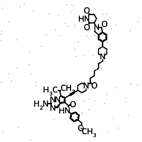 COCc1ccc(NC(=O)c2c(C#CC3CCN(C(=O)CCCCCCN4CCC(c5ccc6c(c5)CN(C5CCC(=O)NC5=O)C6=O)CC4)CC3)c(C(C)C)n3nc(N)ncc23)cc1